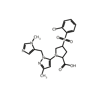 Cc1cc(N2CC(S(=O)(=O)c3ccccc3Cl)CC2C(=O)O)n(Cc2cncn2C)n1